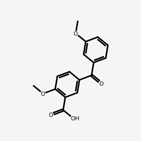 COc1cccc(C(=O)c2ccc(OC)c(C(=O)O)c2)c1